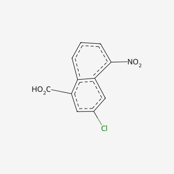 O=C(O)c1cc(Cl)cc2c([N+](=O)[O-])cccc12